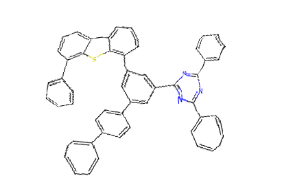 c1ccc(-c2ccc(-c3cc(-c4nc(-c5ccccc5)nc(-c5ccccc5)n4)cc(-c4cccc5c4sc4c(-c6ccccc6)cccc45)c3)cc2)cc1